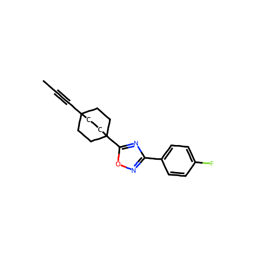 CC#CC12CCC(c3nc(-c4ccc(F)cc4)no3)(CC1)CC2